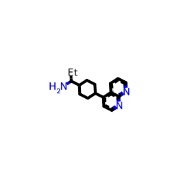 CCC(N)C1CCC(c2ccnc3ncccc23)CC1